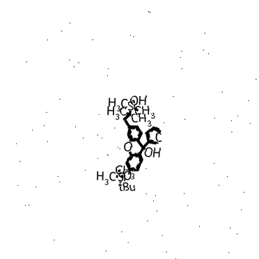 CC(C)(Cc1ccc2c(c1)Oc1cc(O[Si](C)(C)C(C)(C)C)ccc1C2(O)c1ccccc1)[Si](C)(C)O